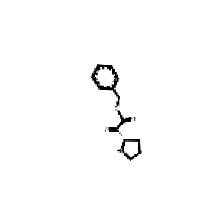 O=C(OCc1ccccc1)C(=O)[C@@H]1CCCN1